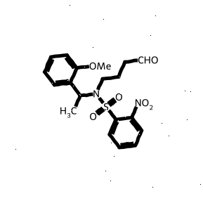 COc1ccccc1C(C)N(CCCC=O)S(=O)(=O)c1ccccc1[N+](=O)[O-]